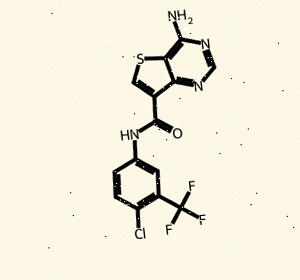 Nc1ncnc2c(C(=O)Nc3ccc(Cl)c(C(F)(F)F)c3)csc12